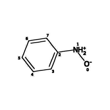 [O-][NH2+]c1ccccc1